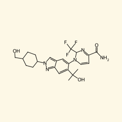 CC(C)(O)c1cc2nn(C3CCC(CO)CC3)cc2cc1N1C=CC(C(N)=O)=NC1C(F)(F)F